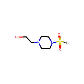 CCS(=O)(=O)N1CCN(CCO)CC1